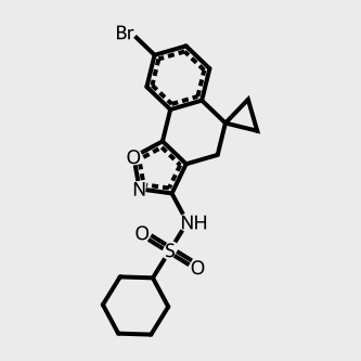 O=S(=O)(Nc1noc2c1CC1(CC1)c1ccc(Br)cc1-2)C1CCCCC1